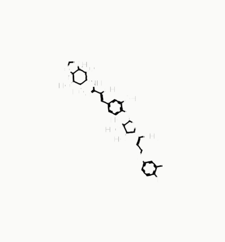 C/C(=C\c1ccc(O[C@@H]2O[C@H](/C(C)=C/COc3ccc(F)c(F)c3)[C@@H](O)[C@@]2(C)O)c(O)c1)C(=O)N[C@@H]1[C@H](O)[C@@H](O)[C@H]2OCO[C@H]2[C@@H]1O